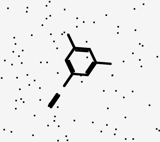 C=C.Cc1cc(C)cc(C)c1